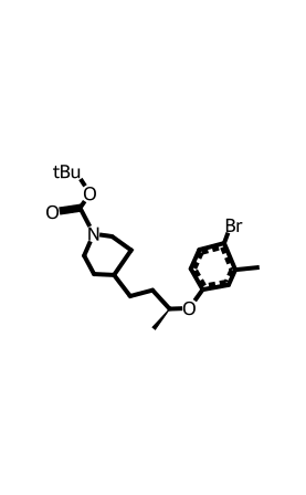 Cc1cc(O[C@@H](C)CCC2CCN(C(=O)OC(C)(C)C)CC2)ccc1Br